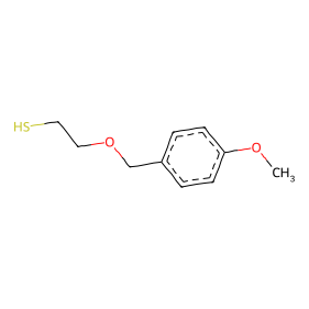 COc1ccc(COCCS)cc1